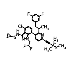 CSC(C)(C)C#Cc1ccc(-c2ccc(Cl)c3c(NSC4CC4)nn(CC(F)F)c23)c(C(C)Cc2cc(F)cc(F)c2)n1